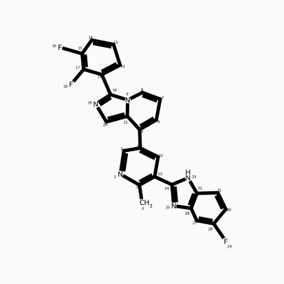 Cc1ncc(-c2cccn3c(-c4cccc(F)c4F)ncc23)cc1-c1nc2cc(F)ccc2[nH]1